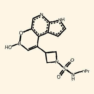 CCCNS(=O)(=O)N1CC(C2=CB(O)Oc3cnc4[nH]ccc4c32)C1